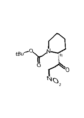 CC(C)(C)OC(=O)N1CCCC[C@@H]1C(=O)C[N+](=O)[O-]